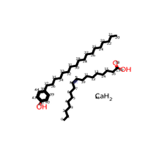 CCCCCCCC/C=C\CCCCCCCC(=O)O.CCCCCCCCCCCCCCCCCCc1ccc(O)cc1.[CaH2]